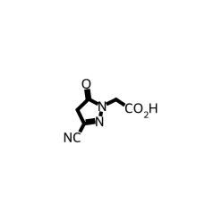 N#CC1=NN(CC(=O)O)C(=O)C1